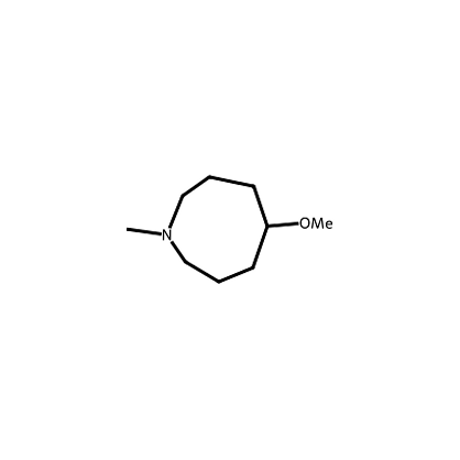 COC1CCCN(C)CCC1